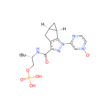 CC(C)(C)[C@@H](COP(=O)(O)O)NC(=O)c1nn(-c2c[n+]([O-])ccn2)c2c1C[C@H]1C[C@@H]21